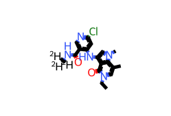 [2H]C([2H])([2H])NC(=O)c1cnc(Cl)cc1Nc1cn(C)c2c(C)cn(CC)c(=O)c12